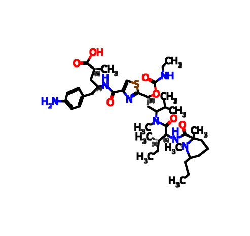 CCCC1CCCC(C)(C(=O)N[C@H](C(=O)N(C)C(C[C@@H](OC(=O)NCC)c2nc(C(=O)N[C@@H](Cc3ccc(N)cc3)C[C@H](C)C(=O)O)cs2)C(C)C)[C@@H](C)CC)N1C